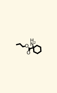 CCCOC(=O)C1(N)CCCCC1